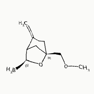 B[C@@H]1O[C@@]2(COC)CC(=C)C1C2